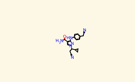 N#CCc1ccc(Nc2nn(C(CC#N)C3CC3)cc2C(N)=O)cc1